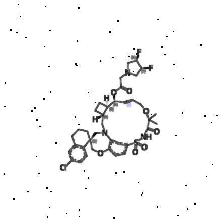 CC1(C)OC/C=C/[C@H](OC(=O)CN2C[C@@H](F)[C@@H](F)C2)[C@@H]2CC[C@H]2CN2C[C@@]3(CCCc4cc(Cl)ccc43)COc3ccc(cc32)S(=O)(=O)NC1=O